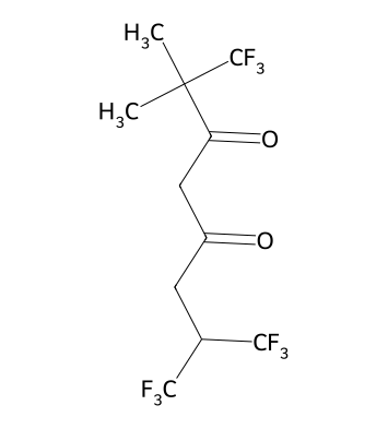 CC(C)(C(=O)CC(=O)CC(C(F)(F)F)C(F)(F)F)C(F)(F)F